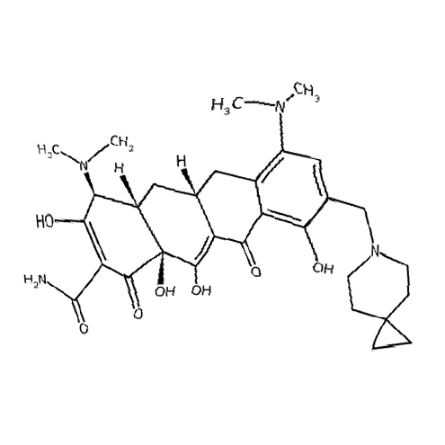 CN(C)c1cc(CN2CCC3(CC2)CC3)c(O)c2c1C[C@H]1C[C@H]3[C@H](N(C)C)C(O)=C(C(N)=O)C(=O)[C@@]3(O)C(O)=C1C2=O